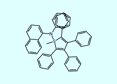 CS1(N(c2ccccc2)c2cccc3ccccc23)C(c2ccccc2)=C(c2ccccc2)C(c2ccccc2)=C1c1ccccc1